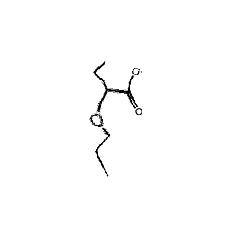 CCCOC(CC)C([O])=O